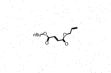 C=CCOC(=O)C=CC(=O)OCCCC